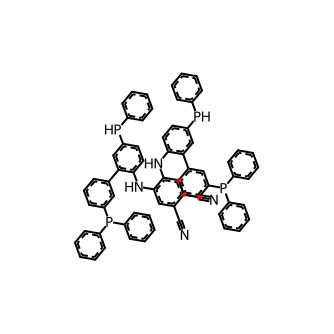 N#Cc1cc(Nc2ccc(Pc3ccccc3)cc2-c2cccc(P(c3ccccc3)c3ccccc3)c2)c(Nc2ccc(Pc3ccccc3)cc2-c2cccc(P(c3ccccc3)c3ccccc3)c2)cc1C#N